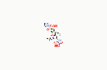 Cc1cc(NC(=O)C(=O)O)cc(C)c1Oc1ccc(O)c(S(=O)(=O)N2CCCCC2)c1